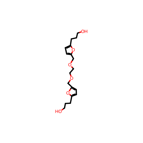 OCCCc1ccc(COCCOCc2ccc(CCCO)o2)o1